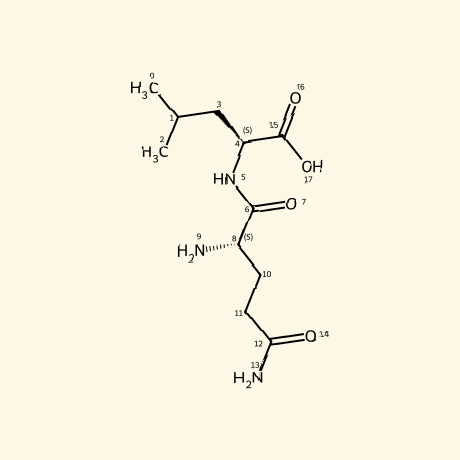 CC(C)C[C@H](NC(=O)[C@@H](N)CCC(N)=O)C(=O)O